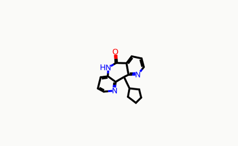 O=C1Nc2cccnc2C(C2CCCC2)c2ncccc21